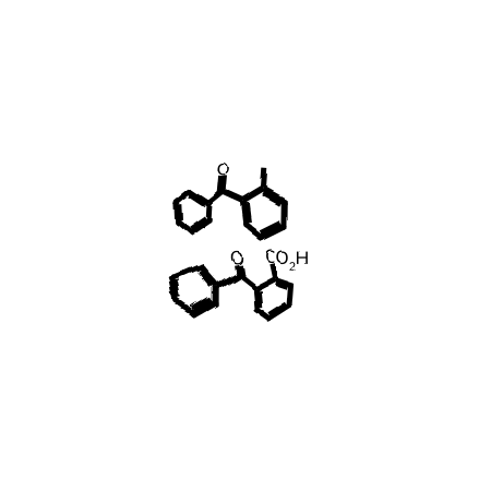 Cc1ccccc1C(=O)c1ccccc1.O=C(O)c1ccccc1C(=O)c1ccccc1